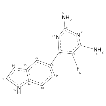 Nc1nc(N)c(F)c(-c2ccc3[nH]ccc3c2)n1